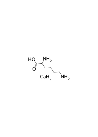 NCCCCC(N)C(=O)O.[CaH2]